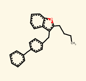 CCCCc1oc2ccccc2c1Cc1ccc(-c2ccccc2)cc1